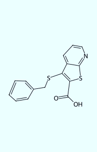 O=C(O)c1sc2ncccc2c1SCc1ccccc1